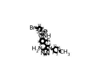 CN1CCC(n2cc(-c3cccc(NS(=O)(=O)c4ccc(Br)s4)c3F)c3c(N)ncnc32)CC1